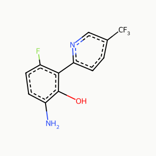 Nc1ccc(F)c(-c2ccc(C(F)(F)F)cn2)c1O